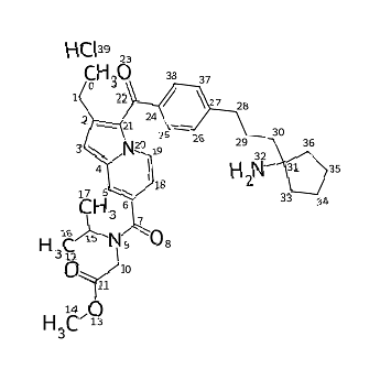 CCc1cc2cc(C(=O)N(CC(=O)OC)C(C)C)ccn2c1C(=O)c1ccc(CCCC2(N)CCCC2)cc1.Cl